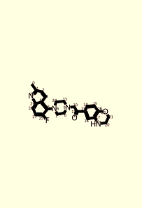 Cc1ccc2c(N3CCN(CC(=O)c4ccc5c(c4)NCCO5)CC3)c(F)ccc2n1